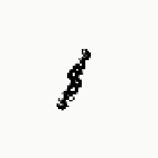 c1csc(-c2cc3cc4c(ccc5c6cc7cc(-c8cccs8)oc7cc6ccc45)cc3o2)c1